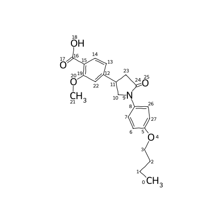 CCCCOc1ccc(N2CC(c3ccc(C(=O)O)c(OC)c3)CC2=O)cc1